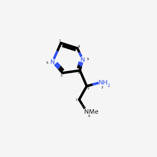 CNCC(N)c1cnccn1